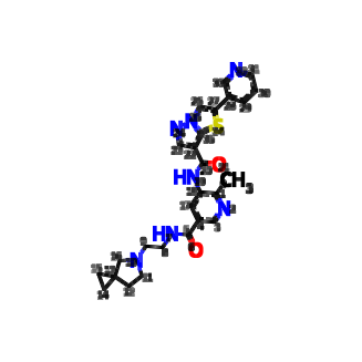 Cc1ncc(C(=O)NCCN2CCC3(CC3)C2)cc1NC(=O)c1cnn2cc(-c3cccnc3)sc12